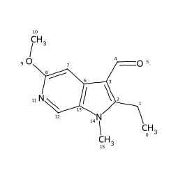 CCc1c(C=O)c2cc(OC)ncc2n1C